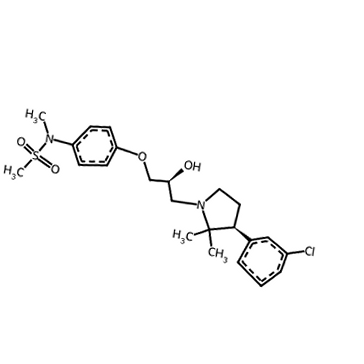 CN(c1ccc(OC[C@@H](O)CN2CC[C@@H](c3cccc(Cl)c3)C2(C)C)cc1)S(C)(=O)=O